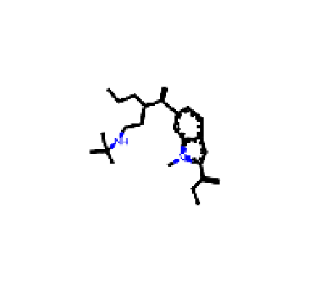 C=C(CC)c1cc2ccc(C(=C)C(CCC)CCNC(C)(C)C)cc2n1C